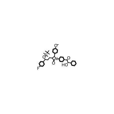 COc1ccc(C2C(CCC(O[Si](C)(C)C(C)(C)C)c3ccc(F)cc3)C(=O)N2c2ccc(C(=O)C(O)c3ccccc3)cc2)cc1